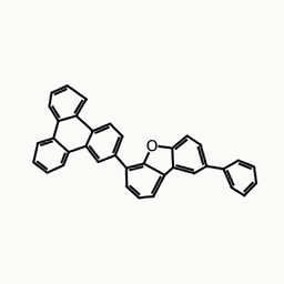 c1ccc(-c2ccc3oc4c(-c5ccc6c7ccccc7c7ccccc7c6c5)cccc4c3c2)cc1